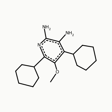 COc1c(C2CCCCC2)nc(N)c(N)c1C1CCCCC1